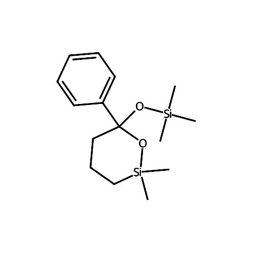 C[Si](C)(C)OC1(c2ccccc2)CCC[Si](C)(C)O1